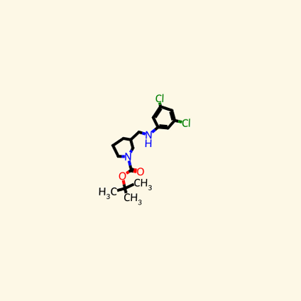 CC(C)(C)OC(=O)N1CCCC(CNc2cc(Cl)cc(Cl)c2)C1